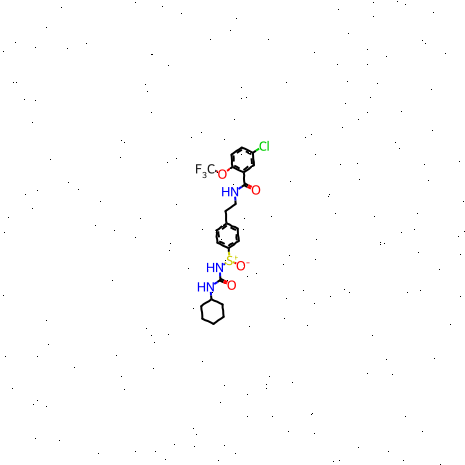 O=C(NC1CCCCC1)N[S+]([O-])c1ccc(CCNC(=O)c2cc(Cl)ccc2OC(F)(F)F)cc1